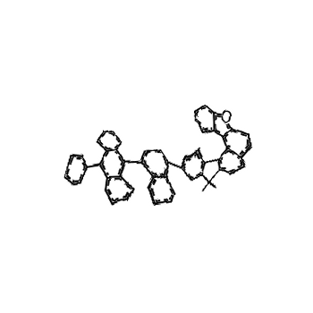 CC1(C)c2cc(-c3ccc(-c4c5ccccc5c(-c5ccccc5)c5ccccc45)c4ccccc34)ccc2-c2c1ccc1ccc3oc4ccccc4c3c21